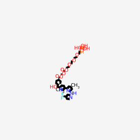 Cc1cc(Nc2cc(C(F)F)ccn2)nc(-c2ccc([C@](C)(O)[C@H]3CC[C@H](C(=O)OCOC(=O)OCCOCCOCCOCCO[PH](O)(O)O)CC3)nc2)c1